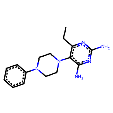 CCc1nc(N)nc(N)c1N1CCN(c2ccccc2)CC1